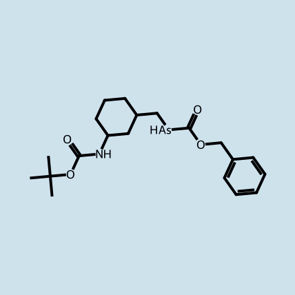 CC(C)(C)OC(=O)NC1CCCC(C[AsH]C(=O)OCc2ccccc2)C1